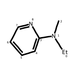 CCN(C)c1ccccn1